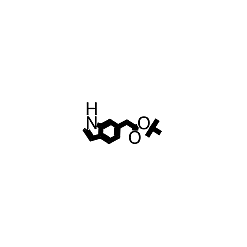 CC(C)(C)OC(=O)Cc1ccc2cc[nH]c2c1